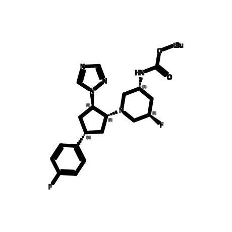 CC(C)(C)OC(=O)N[C@@H]1C[C@@H](F)CN([C@@H]2C[C@H](c3ccc(F)cc3)C[C@H]2n2cncn2)C1